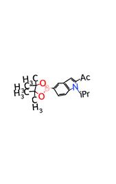 CC(=O)c1cc2cc(B3OC(C)(C)C(C)(C)O3)ccc2n1C(C)C